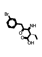 CC[C@@H](C(=N)C(=O)Cc1cccc(Br)c1)C(=O)O